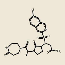 C[C@@H](C(=O)N1CCNC(=O)CC1)N1CC[C@H](N(CC(N)=O)S(=O)(=O)c2ccc3cc(Cl)ccc3c2)C1=O